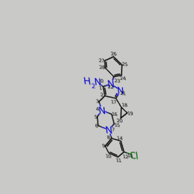 Nc1c(CN2CCN(c3cccc(Cl)c3)CC2)c(C2CC2)nn1-c1ccccc1